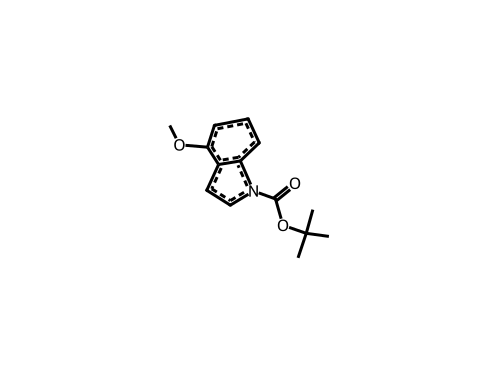 COc1cccc2c1ccn2C(=O)OC(C)(C)C